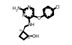 Nc1ncc(Oc2ccc(Cl)cc2)c(NC[C@@H]2CC[C@@H]2O)n1